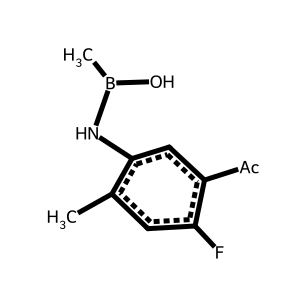 CB(O)Nc1cc(C(C)=O)c(F)cc1C